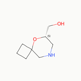 OC[C@@H]1CNCC2(CCC2)O1